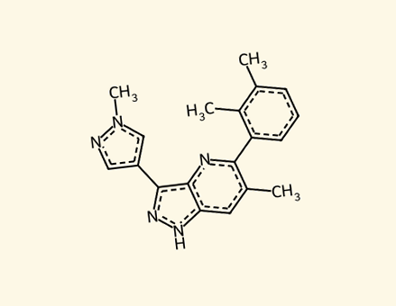 Cc1cc2[nH]nc(-c3cnn(C)c3)c2nc1-c1cccc(C)c1C